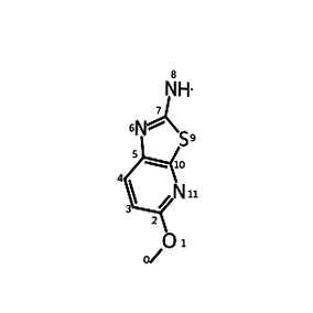 COc1ccc2nc([NH])sc2n1